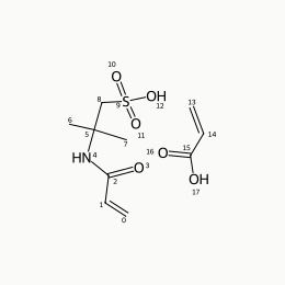 C=CC(=O)NC(C)(C)CS(=O)(=O)O.C=CC(=O)O